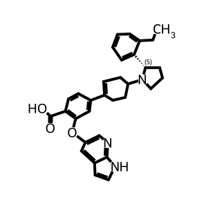 CCc1ccccc1[C@@H]1CCCN1C1CC=C(c2ccc(C(=O)O)c(Oc3cnc4[nH]ccc4c3)c2)CC1